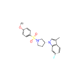 Cc1cn([C@@H]2CCN(S(=O)(=O)c3ccc(OC(C)C)cc3)C2)c2cc(F)ccc12